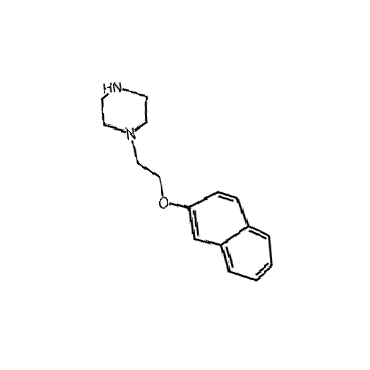 c1ccc2cc(OCCN3CCNCC3)ccc2c1